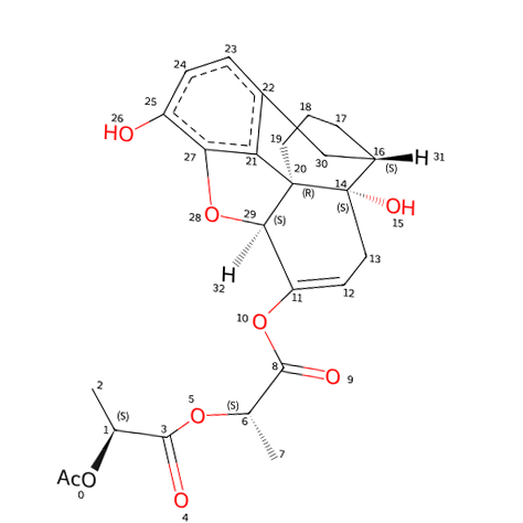 CC(=O)O[C@@H](C)C(=O)O[C@@H](C)C(=O)OC1=CC[C@]2(O)[C@H]3CCC[C@]24c2c(ccc(O)c2O[C@H]14)C3